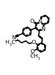 CCCCCOc1c(C=Cc2nc3ccccn3c(=O)c2-c2ccc(C#N)cc2)cccc1OC